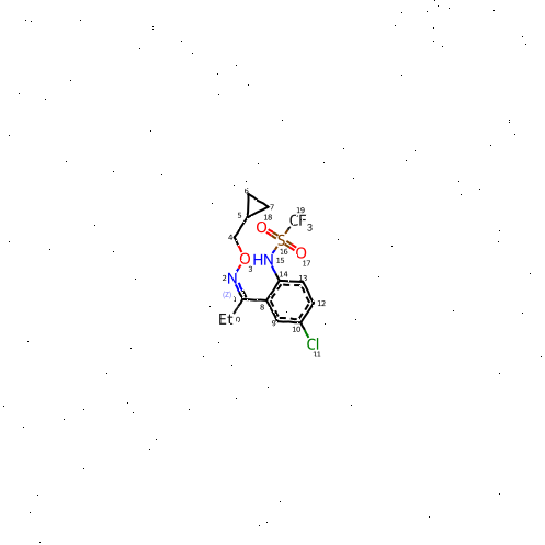 CC/C(=N/OCC1CC1)c1cc(Cl)ccc1NS(=O)(=O)C(F)(F)F